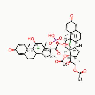 CCC(=O)OCC(=O)[C@@]1(OC(=O)CC)[C@@H](C)C[C@H]2[C@@H]3CCC4=CC(=O)C=C[C@]4(C)C3(F)[C@@H](OP(=O)(O)O[C@]3(C(=O)CO)[C@H](C)CC4C5CCC6=CC(=O)C=C[C@]6(C)[C@@]5(F)[C@@H](O)C[C@@]43C)C[C@@]21C